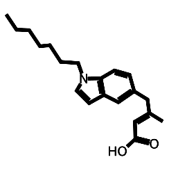 CCCCCCCn1ccc2cc(CC(C)=CC(=O)O)ccc21